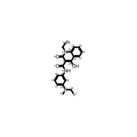 CC(C)Cn1c(=O)c(C(=O)Nc2cccc(N(C)CI)c2)c(O)c2ccccc21